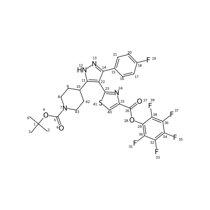 CC(C)(C)OC(=O)N1CCC(c2[nH]nc(-c3ccc(F)cc3)c2-c2nc(C(=O)Oc3c(F)c(F)c(F)c(F)c3F)cs2)CC1